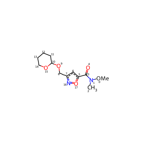 CON(C)C(=O)c1cc(COC2CCCCO2)no1